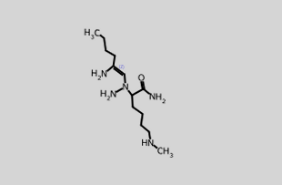 CCCC/C(N)=C/N(N)C(CCCCNC)C(N)=O